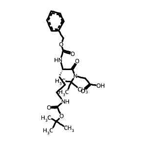 CC(C)(C)OC(=O)NCCC[C@H](NC(=O)OCc1ccccc1)C(=O)N(CC(=O)O)C(C)(C)C